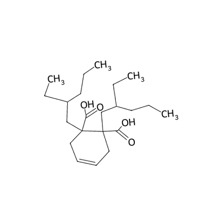 CCCC(CC)CC1(C(=O)O)CC=CCC1(CC(CC)CCC)C(=O)O